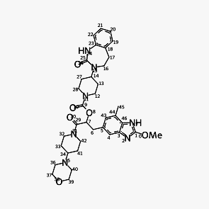 COc1nc2cc(CC(OC(=O)N3CCC(N4CCc5ccccc5NC4=O)CC3)C(=O)N3CCC(N4CCOCC4)CC3)cc(C)c2[nH]1